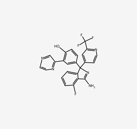 NC1=NC(c2ccnc(C(F)(F)F)c2)(c2ccc(O)c(-c3cnccn3)c2)c2cccc(F)c21